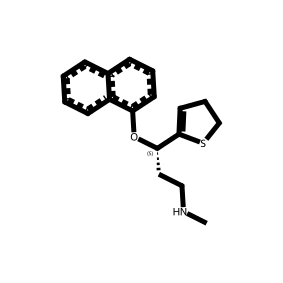 CNCC[C@H](Oc1cccc2ccccc12)C1=CCCS1